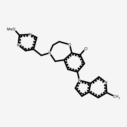 COc1ncc(CN2CCOc3c(Cl)cc(-n4ccc5cc(C)ncc54)cc3C2)cn1